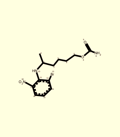 CC(CCCCOC(N)=O)Nc1c(Br)cccc1[N+](=O)[O-]